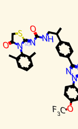 Cc1cccc(C)c1N1C(=O)CS/C1=N\C(=O)NCC(C)c1ccc(-c2ncn(-c3ccc(OC(F)(F)F)cc3)n2)cc1